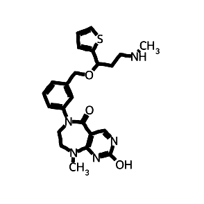 CNCCC(OCc1cccc(N2CCN(C)c3nc(O)ncc3C2=O)c1)c1cccs1